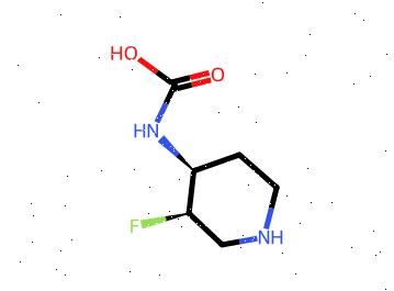 O=C(O)N[C@H]1CCNC[C@H]1F